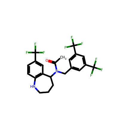 CC(=O)N(Cc1cc(C(F)(F)F)cc(C(F)(F)F)c1)C1CCCNc2ccc(C(F)(F)F)cc21